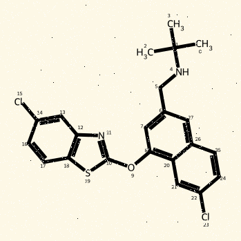 CC(C)(C)NCc1cc(Oc2nc3cc(Cl)ccc3s2)c2cc(Cl)ccc2c1